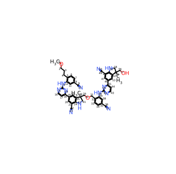 COCCCc1ccc(C#N)cc1Nc1nccc(-c2cc(C#N)c3c(c2)[C@@](C)(COCc2ccc(C#N)cc2Nc2nccc(-c4cc(C#N)c5c(c4)[C@@](C)(CO)CN5)n2)CN3)n1